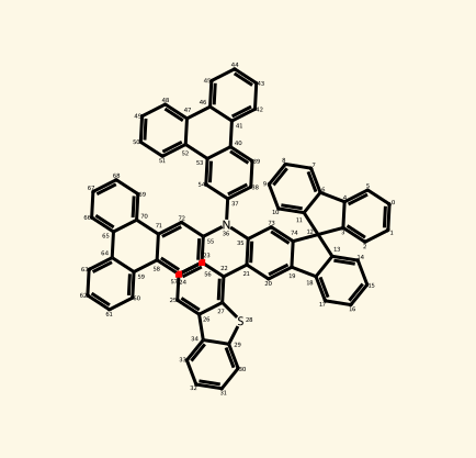 c1ccc2c(c1)-c1ccccc1C21c2ccccc2-c2cc(-c3cccc4c3sc3ccccc34)c(N(c3ccc4c5ccccc5c5ccccc5c4c3)c3ccc4c5ccccc5c5ccccc5c4c3)cc21